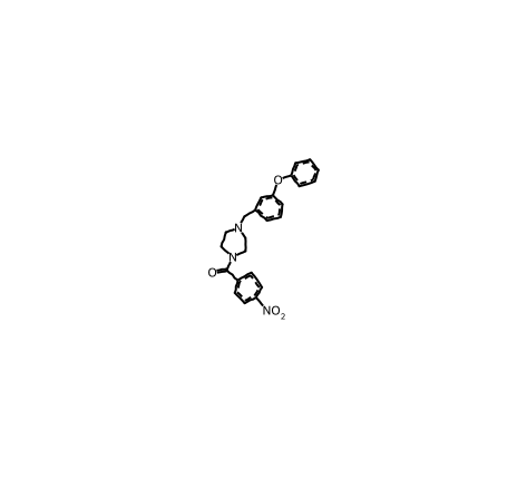 O=C(c1ccc([N+](=O)[O-])cc1)N1CCN(Cc2cccc(Oc3ccccc3)c2)CC1